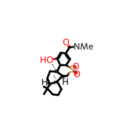 CNC(=O)C1=CC2C(C(O)=C1)[C@]1(C)CC[C@H]3C(C)(C)CCC[C@]3(C)[C@H]1CS2(=O)=O